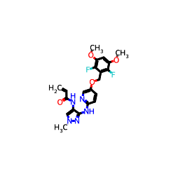 C=CC(=O)Nc1cn(C)nc1Nc1ccc(OCc2c(F)c(OC)cc(OC)c2F)cn1